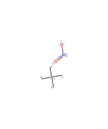 C[Si](C)(C)C.O=[N+][O-]